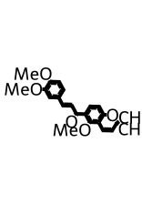 COc1ccc(/C=C/C(=O)c2ccc3c(c2OC)C=CC(C)(C)O3)cc1OC